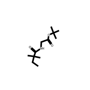 CCC(C)(C)C(=O)NCC(=O)OC(C)(C)C